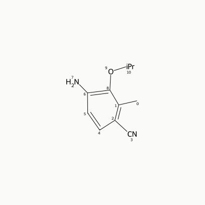 Cc1c(C#N)ccc(N)c1OC(C)C